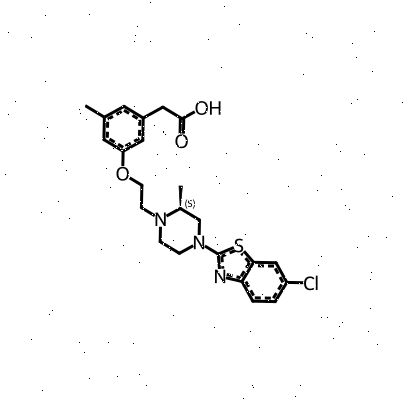 Cc1cc(CC(=O)O)cc(OCCN2CCN(c3nc4ccc(Cl)cc4s3)C[C@@H]2C)c1